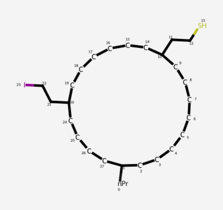 CCCC1CCCCCCCCC(CCS)CCCCCCC(CCI)CCCC1